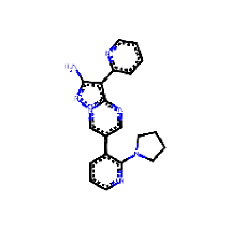 Nc1nn2cc(-c3cccnc3N3CCCC3)cnc2c1-c1ccccn1